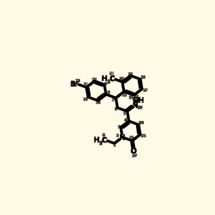 CCn1cc(/C(CC(c2ccc(Br)cc2)c2ccccc2C)=N/O)ccc1=O